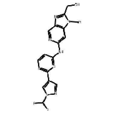 CC(C)n1c(CO)nc2cnc(Nc3ccnc(-c4cnn(C(F)F)c4)n3)cc21